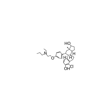 CCCN(CC)CCOc1ccc([C@H]2C[C@]3(C)[C@@H](O)CC[C@H]3[C@@H]3CCc4c(ccc(O)c4Cl)[C@H]32)cc1